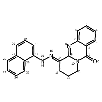 O=c1c2ccccc2nc2n1CCCC2=NNc1cccc2ccccc12